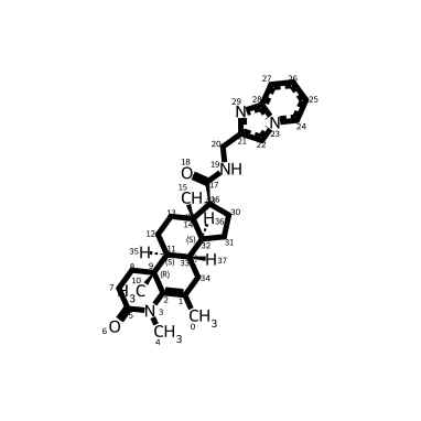 CC1=C2N(C)C(=O)CC[C@]2(C)[C@H]2CC[C@]3(C)[C@@H](C(=O)NCc4cn5ccccc5n4)CC[C@H]3[C@@H]2C1